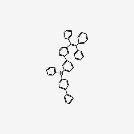 c1ccc(C(=C(c2ccccc2)c2cccc(-c3cccc(N(c4ccccc4)c4ccc(-c5ccccc5)cc4)c3)c2)c2ccccc2)cc1